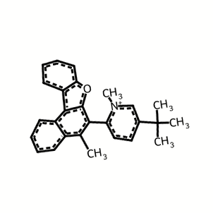 Cc1c(-c2ccc(C(C)(C)C)c[n+]2C)c2oc3ccccc3c2c2ccccc12